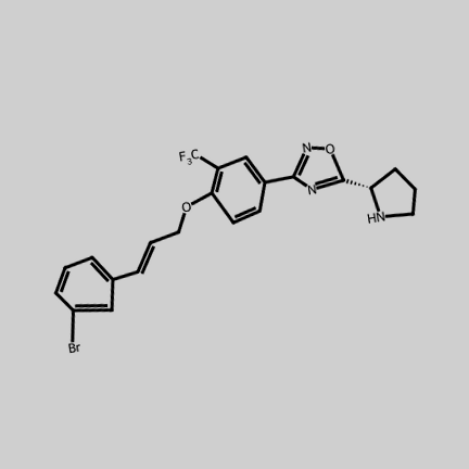 FC(F)(F)c1cc(-c2noc([C@@H]3CCCN3)n2)ccc1OC/C=C/c1cccc(Br)c1